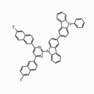 Fc1ccc2cc(-c3cc(-c4ccc5cc(F)ccc5c4)nc(-n4c5ccccc5c5cc(-c6ccc7c(c6)c6ccccc6n7-c6ccccc6)ccc54)n3)ccc2c1